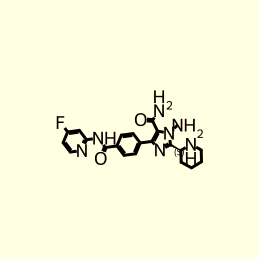 NC(=O)c1c(-c2ccc(C(=O)Nc3cc(F)ccn3)cc2)nc([C@@H]2CCCCN2)n1N